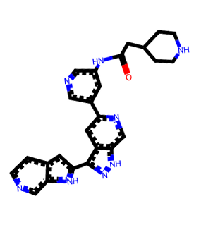 O=C(CC1CCNCC1)Nc1cncc(-c2cc3c(-c4cc5ccncc5[nH]4)n[nH]c3cn2)c1